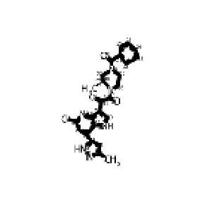 Cc1cc(-c2cc(Cl)nc3c(C(=O)C(=O)N4CCN(C(=O)c5ccccc5)C[C@H]4C)c[nH]c23)[nH]n1